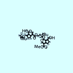 COC(=O)C1=COC(O[Si](C)(CCOC(=O)C2=COC(O)C3C(CO[Si](C)(C)C(C)(C)C)CCC23)C(C)(C)C)C2C(CO)CCC12